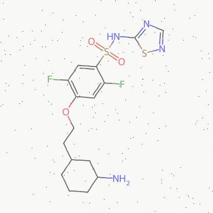 NC1CCCC(CCOc2cc(F)c(S(=O)(=O)Nc3ncns3)cc2F)C1